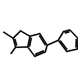 CC1=C(C)c2ccc(-c3ccccc3)cc2[CH]1